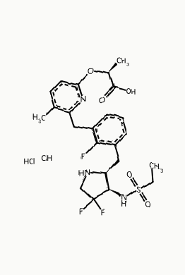 CCS(=O)(=O)N[C@@H]1[C@H](Cc2cccc(Cc3nc(O[C@@H](C)C(=O)O)ccc3C)c2F)NCC1(F)F.Cl.Cl